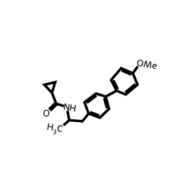 COc1ccc(-c2ccc(CC(C)NC(=O)C3CC3)cc2)cc1